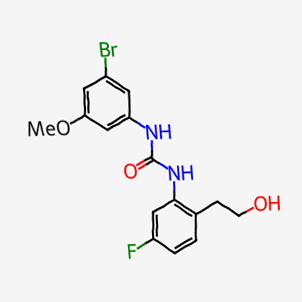 COc1cc(Br)cc(NC(=O)Nc2cc(F)ccc2CCO)c1